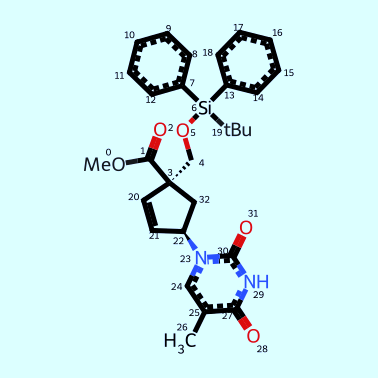 COC(=O)[C@]1(CO[Si](c2ccccc2)(c2ccccc2)C(C)(C)C)C=C[C@H](n2cc(C)c(=O)[nH]c2=O)C1